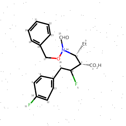 CC[C@H]([C@H](C(=O)O)C(F)Cc1ccc(F)cc1)N(C=O)OCc1ccccc1